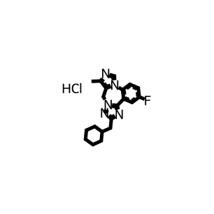 Cc1ncn2c1Cn1nc(CC3CCCCC3)nc1-c1cc(F)ccc1-2.Cl